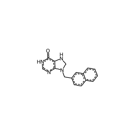 O=c1[nH]cnc2c1NCN2Cc1ccc2ccccc2c1